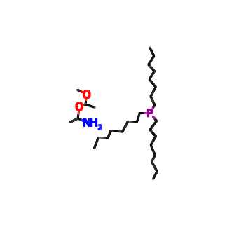 CCCCCCCCP(CCCCCCCC)CCCCCCCC.COC(C)OC(C)N